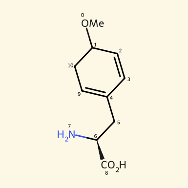 COC1C=CC(C[C@H](N)C(=O)O)=CC1